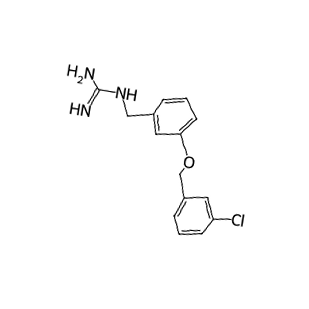 N=C(N)NCc1cccc(OCc2cccc(Cl)c2)c1